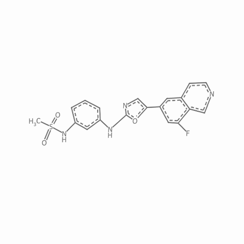 CS(=O)(=O)Nc1cccc(Nc2ncc(-c3cc(F)c4cnccc4c3)o2)c1